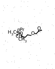 CCC[Si](C)(C)OC(C)CCCOCC1CO1